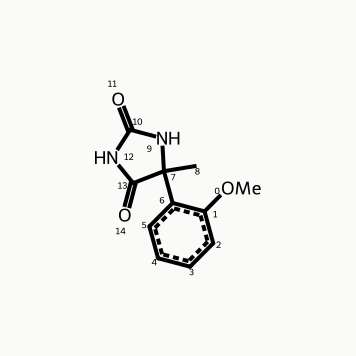 COc1ccccc1C1(C)NC(=O)NC1=O